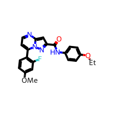 CCOc1ccc(NC(=O)c2cc3nccc(-c4ccc(OC)cc4F)n3n2)cc1